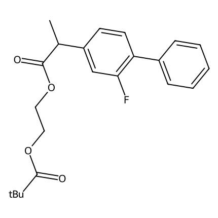 CC(C(=O)OCCOC(=O)C(C)(C)C)c1ccc(-c2ccccc2)c(F)c1